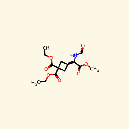 CCOC(=O)C1(C(=O)OCC)CC(=C(NC=O)C(=O)OC)C1